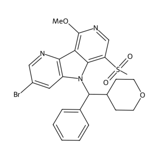 COc1ncc(S(C)(=O)=O)c2c1c1ncc(Br)cc1n2C(c1ccccc1)C1CCOCC1